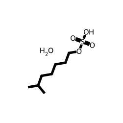 CC(C)CCCCCOS(=O)(=O)O.O